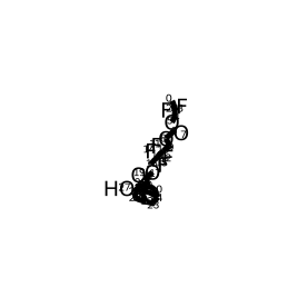 CC(F)(F)COC(=O)OCC(F)(F)C(F)(F)COC(=O)C12CC3CC(CC(O)(C3)C1)C2